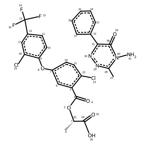 C[C@H](OC(=O)c1cc(Oc2ccc(C(F)(F)F)cc2Cl)ccc1Cl)C(=O)O.Cc1nnc(-c2ccccc2)c(=O)n1N